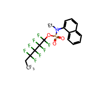 CCN(c1cccc2ccccc12)S(=O)(=O)OC(F)(F)C(F)(F)C(F)(F)C(F)(F)CC(F)(F)F